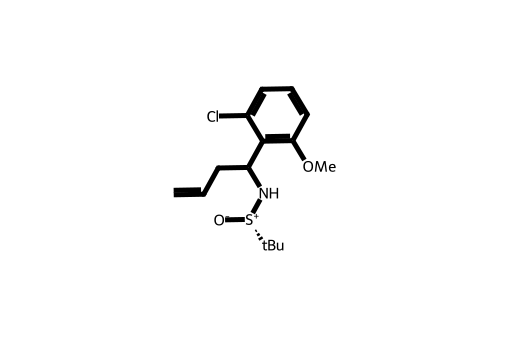 C=CCC(N[S@@+]([O-])C(C)(C)C)c1c(Cl)cccc1OC